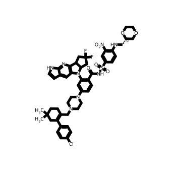 CC1(C)CCC(CN2CCN(c3ccc(C(=O)NS(=O)(=O)c4ccc(NC[C@H]5COCCO5)c([N+](=O)[O-])c4)c(N4c5cc6cc[nH]c6nc5C5CC(F)(F)CC54)c3)CC2)=C(c2ccc(Cl)cc2)C1